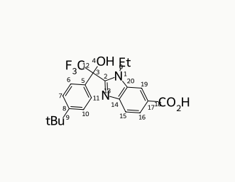 CCn1c(C(O)(c2ccc(C(C)(C)C)cc2)C(F)(F)F)nc2ccc(C(=O)O)cc21